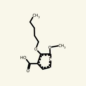 CCCCCOc1c(OC)cccc1C(=O)O